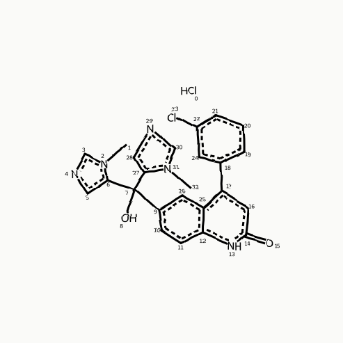 Cl.Cn1cncc1C(O)(c1ccc2[nH]c(=O)cc(-c3cccc(Cl)c3)c2c1)c1cncn1C